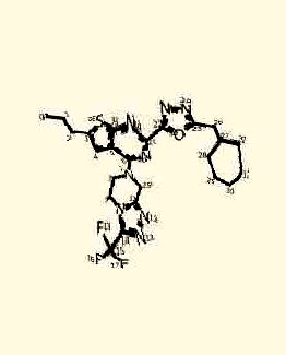 CCCc1cc2c(N3CCn4c(nnc4C(F)(F)F)C3)nc(-c3nnc(CC4CCCCC4)o3)nc2s1